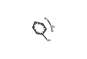 [Br][Mg][Br].[CH2]CCc1ccccc1